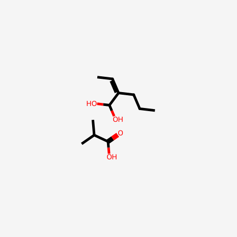 CC(C)C(=O)O.CC=C(CCC)C(O)O